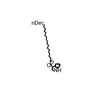 CCCCCCCCCCCCCCCCCCCCCCCCCCCCOC(=O)C1=CCNc2ccccc21